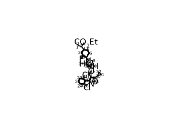 CCOC(=O)CC(C)c1ccc(N2C[C@@H]3C[C@H]2C[C@H]3OCc2c(-c3c(Cl)cccc3Cl)noc2C2CC2)c(F)c1